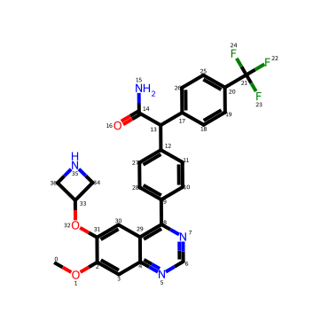 COc1cc2ncnc(-c3ccc(C(C(N)=O)c4ccc(C(F)(F)F)cc4)cc3)c2cc1OC1CNC1